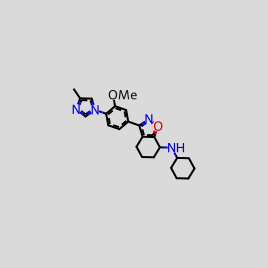 COc1cc(-c2noc3c2CCCC3NC2CCCCC2)ccc1-n1cnc(C)c1